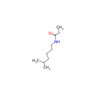 CCC(=O)NCCCCC(C)C